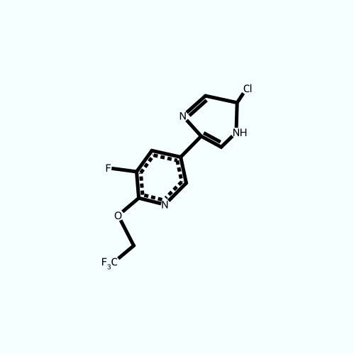 Fc1cc(C2=CNC(Cl)C=N2)cnc1OCC(F)(F)F